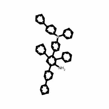 Nc1c(-c2ccc(-c3ccccc3)cc2)cc(-c2ccccc2)c(-c2ccc(N(c3ccccc3)c3ccc(-c4ccccc4)cc3)cc2)c1-c1ccccc1